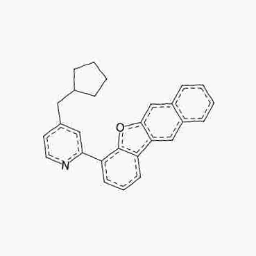 c1ccc2cc3c(cc2c1)oc1c(-c2cc(CC4CCCC4)ccn2)cccc13